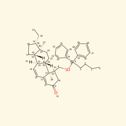 CCCC[Si](OCC1CC(=O)C=C2C=C[C@H]3[C@@H]4CC[C@H](CC)[C@@]4(C)CC[C@@H]3[C@]21C)(c1ccccc1)c1ccccc1